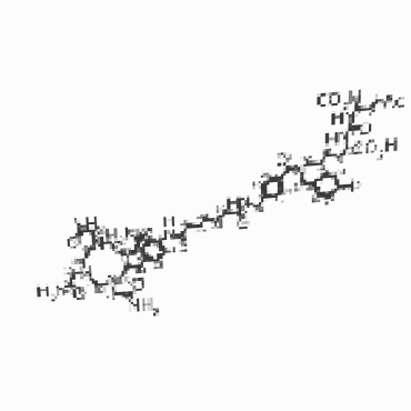 CC(=O)CC[C@@H](NC(=O)N[C@H](CCCCN(Cc1ccc(I)cc1)C(=O)c1ccc(CNC(=O)CCCCCC(=S)Nc2ccc(CC3CN(CC(N)=O)CCN(CC(N)=O)CCN(CC(N)=O)CCN3CC(N)=O)cc2)cc1)C(=O)O)C(=O)O